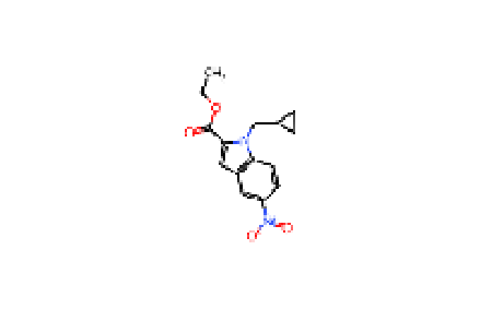 CCOC(=O)c1cc2cc([N+](=O)[O-])ccc2n1CC1CC1